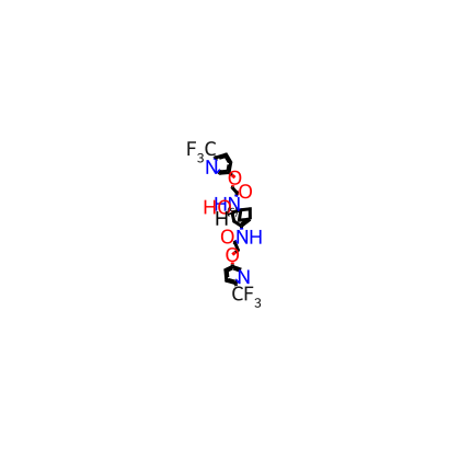 O=C(COc1ccc(C(F)(F)F)nc1)NC1=C2CC(NC(=O)COc3ccc(C(F)(F)F)nc3)(C2)[C@@H](O)C1